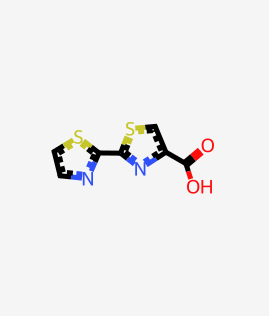 O=C(O)c1csc(-c2nccs2)n1